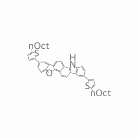 CCCCCCCCc1ccc(-c2ccc3[nH]c4c(ccc5c4ccc4c6cc(-c7ccc(CCCCCCCC)s7)ccc6oc45)c3c2)s1